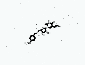 COc1ccc(COC[C@H]2O[C@@H](n3cc(/C=C/Br)c(=O)[nH]c3=O)[C@@H](O)[C@@H]2O)cc1